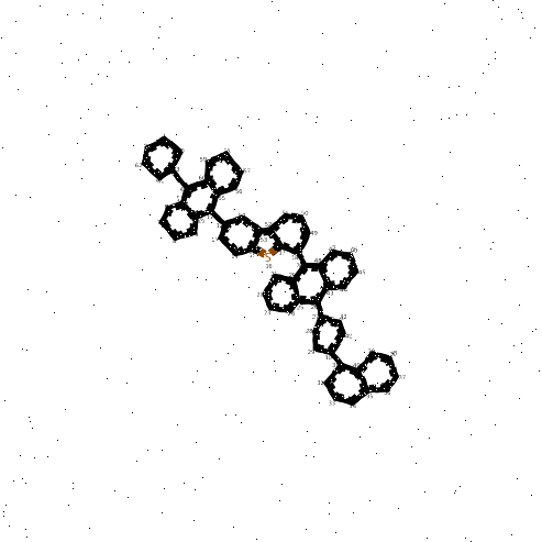 c1ccc(-c2c3ccccc3c(-c3ccc4sc5c(-c6c7ccccc7c(-c7ccc(-c8cccc9ccccc89)cc7)c7ccccc67)cccc5c4c3)c3ccccc23)cc1